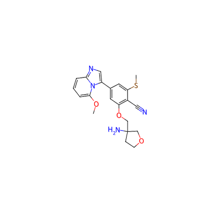 COc1cccc2ncc(-c3cc(OCC4(N)CCOC4)c(C#N)c(SC)c3)n12